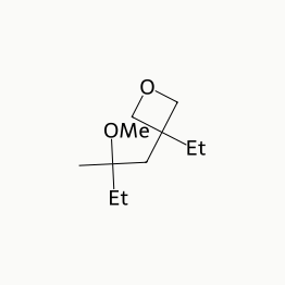 CCC1(CC(C)(CC)OC)COC1